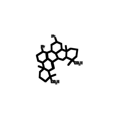 CC(C)C1CC2C3=C4C(=CC5C(C)(C(=O)O)CCCC5(C)C4CCC3C(C)C)C3CC4C(C)(C(=O)O)CCCC4(C)C(C1)C32